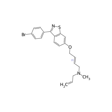 C=CCN(C)C/C=C/COc1ccc2c(-c3ccc(Br)cc3)nsc2c1